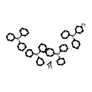 [CH2]1[CH2][Pt]1.[Pt].c1ccc(P(c2ccccc2)c2ccccc2)cc1.c1ccc(P(c2ccccc2)c2ccccc2)cc1.c1ccc(P(c2ccccc2)c2ccccc2)cc1.c1ccc(P(c2ccccc2)c2ccccc2)cc1